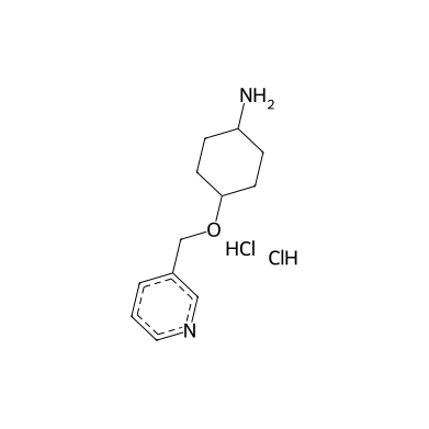 Cl.Cl.NC1CCC(OCc2cccnc2)CC1